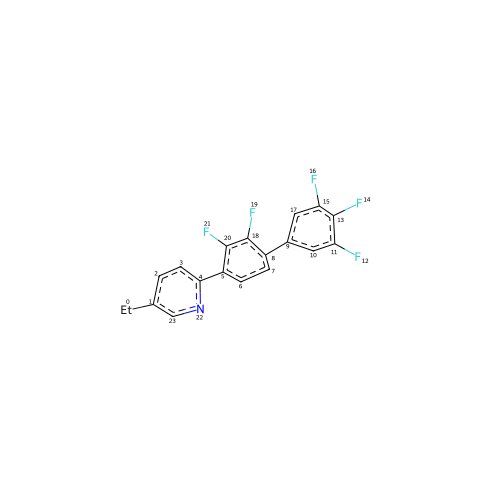 CCc1ccc(-c2ccc(-c3cc(F)c(F)c(F)c3)c(F)c2F)nc1